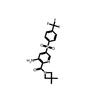 CC1(C)CN(C(=O)c2ncc(S(=O)(=O)c3ccc(C(F)(F)F)cc3)cc2N)C1